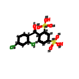 O=C(c1ccc(Cl)cc1Cl)c1ccc(S(=O)(=O)O)cc1S(=O)(=O)O